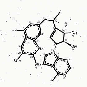 Cc1ncnc2c1ccn2[C@@H]1C=C(C(C)Cc2cc(F)c3cc(Cl)c(N)nc3c2)[C@@](C)(O)[C@H]1O